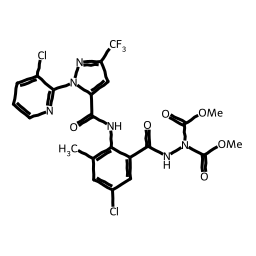 COC(=O)N(NC(=O)c1cc(Cl)cc(C)c1NC(=O)c1cc(C(F)(F)F)nn1-c1ncccc1Cl)C(=O)OC